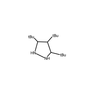 CC(C)(C)C1NNC(C(C)(C)C)C1C(C)(C)C